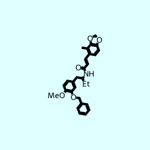 CCC(Cc1ccc(OC)c(OCc2ccccc2)c1)NC(=O)/C=C/c1ccc2c(c1C)OCO2